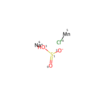 O=S([O-])O.[Cl][Mn].[Na+]